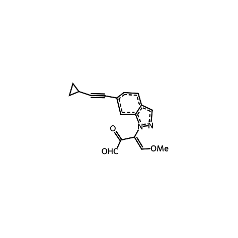 CO/C=C(/C(=O)C=O)n1ncc2ccc(C#CC3CC3)cc21